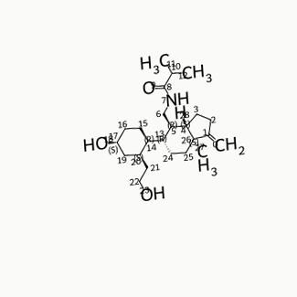 C=C1CC[C@H]2[C@H](CNC(=O)C(C)C)[C@@H]([C@@H]3CC[C@H](O)C[C@@H]3CCO)CC[C@]12C